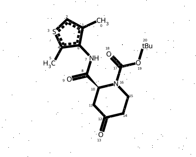 Cc1csc(C)c1NC(=O)[C@@H]1CC(=O)CCN1C(=O)OC(C)(C)C